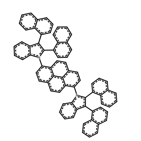 c1ccc2c(-c3c(-c4cccc5ccccc45)n(-c4ccc5ccc6c(-n7c(-c8cccc9ccccc89)c(-c8cccc9ccccc89)c8ccccc87)ccc7ccc4c5c76)c4ccccc34)cccc2c1